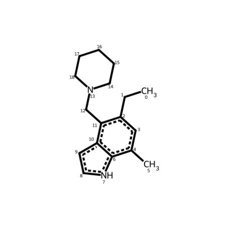 CCc1cc(C)c2[nH]ccc2c1CN1CCCCC1